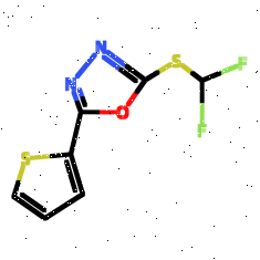 FC(F)Sc1nnc(-c2cccs2)o1